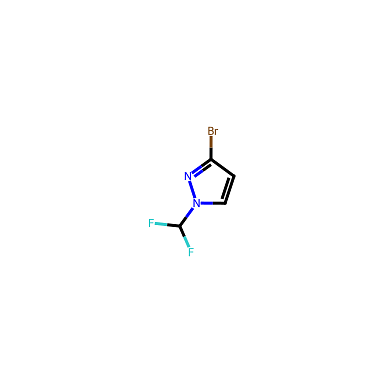 FC(F)n1ccc(Br)n1